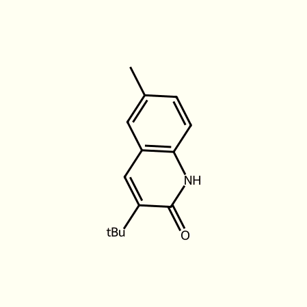 Cc1ccc2[nH]c(=O)c(C(C)(C)C)cc2c1